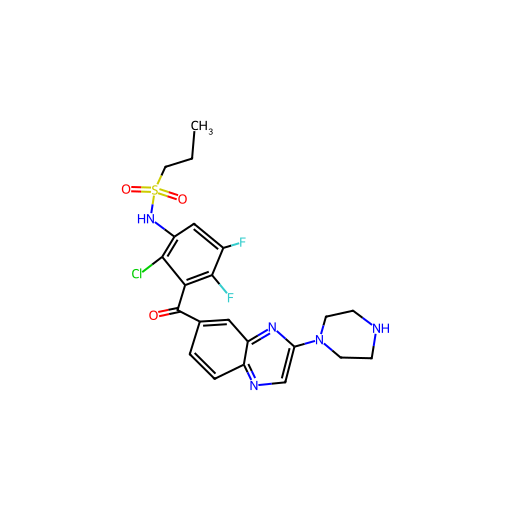 CCCS(=O)(=O)Nc1cc(F)c(F)c(C(=O)c2ccc3ncc(N4CCNCC4)nc3c2)c1Cl